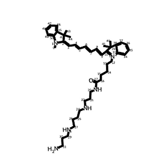 CN1/C(=C/C=C/C=C/C=C/C2=[N+](CCCCCC(=O)NCCCNCCCCNCCCN)c3ccccc3C2(C)C)C(C)(C)c2ccccc21